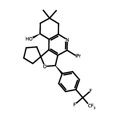 CC(C)c1nc2c(c3c1[C@@H](c1ccc(C(F)(F)C(F)(F)F)cc1)OC31CCCC1)[C@@H](O)CC(C)(C)C2